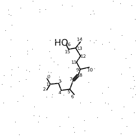 CC(C)CCC(C)C#CC(C)CCC(C)CO